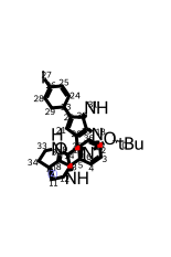 CC(C)(C)Oc1ccc(C(=N)C(=O)/C2=C\CCC(c3ncnc4c3C=C(C3C=CC(I)=CC3)C4=N)NCC2)cc1